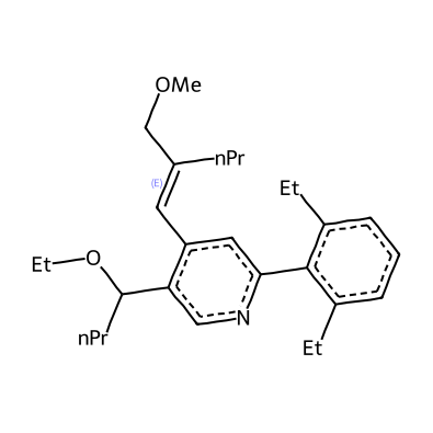 CCC/C(=C\c1cc(-c2c(CC)cccc2CC)ncc1C(CCC)OCC)COC